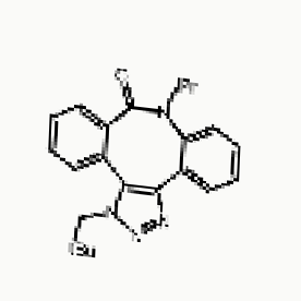 CC(C)N1C(=O)c2ccccc2-c2c(nnn2CC(C)(C)C)-c2ccccc21